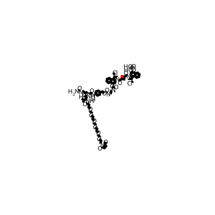 CC(C)[C@H](NC(=O)CCOCCOCCOCCOCCOCCOCCN1C(=O)C=CC1=O)C(=O)N[C@@H](CCCNC(N)=O)C(=O)Nc1ccc(COC(=O)N(C)CCN(C)C(=O)Oc2cc3c(c4ccccc24)[C@H](CCl)CN3C(=O)C23CC(C(=O)N4C[C@@H](CCl)c5c4cc(OP(=O)(O)O)c4ccccc54)(C2)C3)cc1